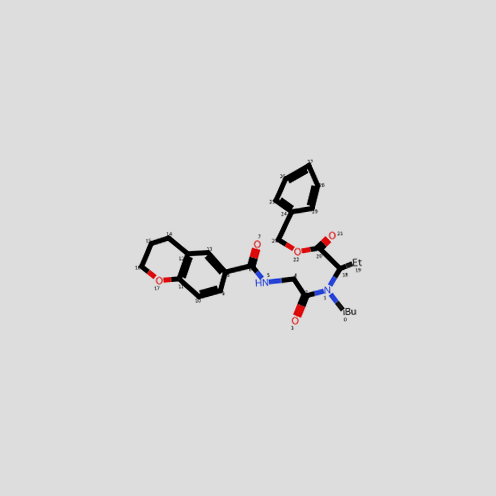 CCC(C)N(C(=O)CNC(=O)c1ccc2c(c1)CCCO2)C(CC)C(=O)OCc1ccccc1